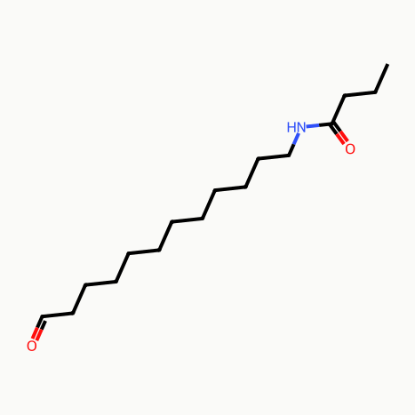 CCCC(=O)NCCCCCCCCCCCC=O